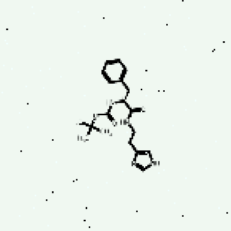 CC(C)(C)OC(=O)N[C@@H](Cc1ccccc1)C(=O)NCCc1c[nH]cn1